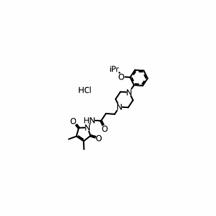 CC1=C(C)C(=O)N(NC(=O)CCN2CCN(c3ccccc3OC(C)C)CC2)C1=O.Cl